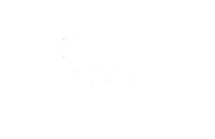 CCC/C=C(\c1ccc(C(C)(C)C)cc1)c1ccc(OC)c(=O)[nH]1